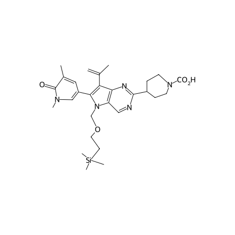 C=C(C)c1c(-c2cc(C)c(=O)n(C)c2)n(COCC[Si](C)(C)C)c2cnc(C3CCN(C(=O)O)CC3)nc12